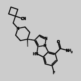 CC1(c2cnn3c2[nH]c2cc(F)cc(C(N)=O)c23)CCN(CC2(C#N)CCC2)CC1